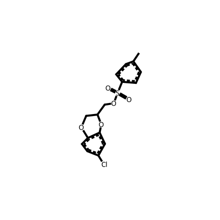 Cc1ccc(S(=O)(=O)OCC2COc3ccc(Cl)cc3O2)cc1